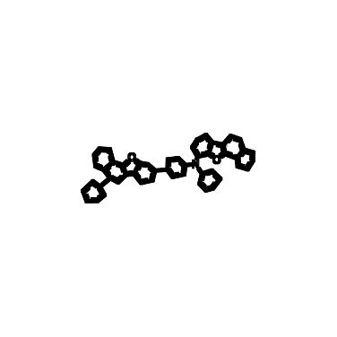 c1ccc(-c2cc3c4ccc(-c5ccc(N(c6ccccc6)c6cccc7c6oc6c8ccccc8ccc76)cc5)cc4oc3c3ccccc23)cc1